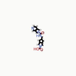 O=C(O)N1CC2CC(CNC(=O)N3Cc4ccncc4C3)CC2C1